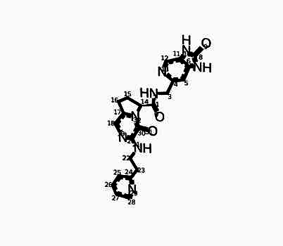 O=C(NCc1cc2[nH]c(=O)[nH]c2cn1)[C@@H]1CCc2cnc(NCCc3ccccn3)c(=O)n21